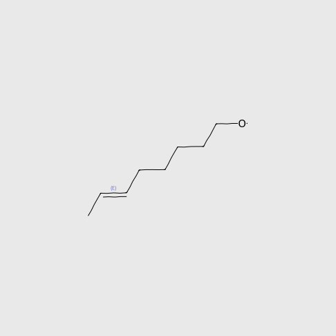 C/C=C/CCCCC[O]